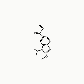 C=CC(=N)c1cnc2nc(OC)n(C(C)C)c2c1